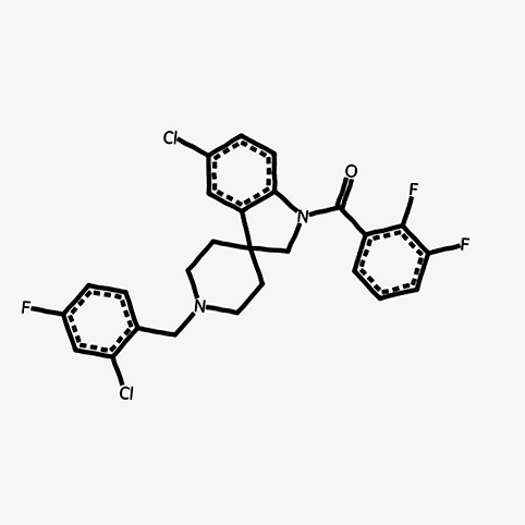 O=C(c1cccc(F)c1F)N1CC2(CCN(Cc3ccc(F)cc3Cl)CC2)c2cc(Cl)ccc21